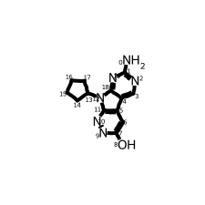 Nc1ncc2c3cc(O)nnc3n(C3CCCC3)c2n1